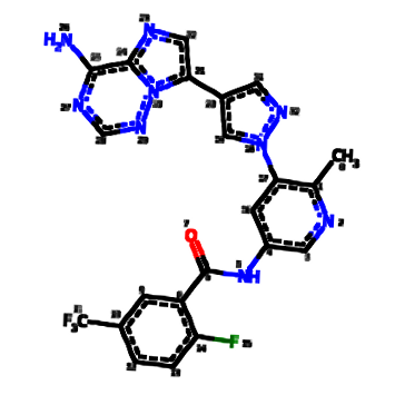 Cc1ncc(NC(=O)c2cc(C(F)(F)F)ccc2F)cc1-n1cc(-c2cnc3c(N)ncnn23)cn1